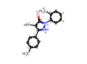 CCCc1c(-c2ccc(C)cc2)[nH]n(-c2ccccc2C)c1=O